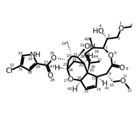 COC[C@@H](O)[C@H]1OC(=O)[C@H](COC)[C@H]2C=C[C@H]3O[C@@H]4C[C@@H]([C@H](O)[C@@H](C)[C@H]4OC(=O)c4cc(Cl)c[nH]4)[C@]23/C(C)=C/[C@H]1C